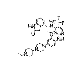 CCN1CCC(N2CCN(c3ccc(Nc4ncc(C(F)(F)F)c(NCc5cccc6c5CC(=O)N6)n4)c(OC)c3)CC2)CC1